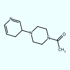 CC(=O)N1CCN(C2C=NC=CC2)CC1